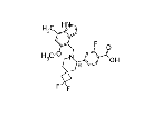 COc1cc(C)c2[nH]ccc2c1CN1CCC2(C[C@@H]1c1ccc(C(=O)O)c(F)c1)CC(F)(F)C2